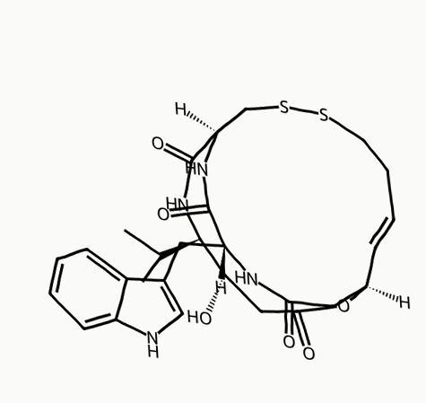 CC(C)[C@H]1NC(=O)[C@H]2CSSCC/C=C/[C@H](CC(=O)N[C@H](Cc3c[nH]c4ccccc34)C(=O)N2)OC(=O)C[C@@H]1O